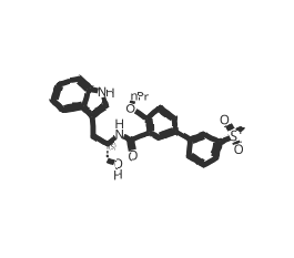 CCCOc1ccc(-c2cccc(S(C)(=O)=O)c2)cc1C(=O)N[C@H](CO)Cc1c[nH]c2ccccc12